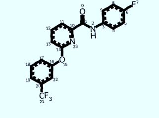 O=C(Nc1ccc(F)cc1)c1cccc(Oc2cccc(C(F)(F)F)c2)n1